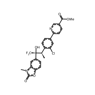 COC(=O)c1ccc(-c2ccc([C@@H](C)[C@@](O)(c3ccc4oc(=O)n(C)c4c3)C(F)(F)F)c(Cl)c2)nc1